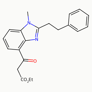 CCOC(=O)CC(=O)c1cccc2c1nc(CCc1ccccc1)n2C